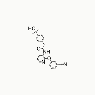 CC(C)(O)c1ccc(CC(=O)Nc2cccnc2Oc2cccc(C#N)c2)cc1